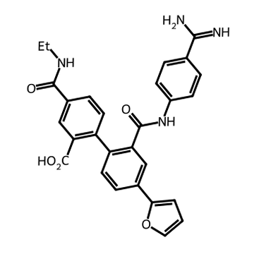 CCNC(=O)c1ccc(-c2ccc(-c3ccco3)cc2C(=O)Nc2ccc(C(=N)N)cc2)c(C(=O)O)c1